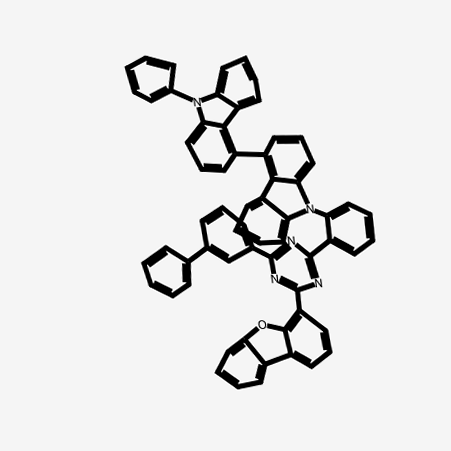 c1ccc(-c2cccc(-c3nc(-c4ccccc4-n4c5ccccc5c5c(-c6cccc7c6c6ccccc6n7-c6ccccc6)cccc54)nc(-c4cccc5c4oc4ccccc45)n3)c2)cc1